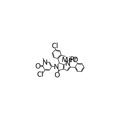 COc1ccccc1-c1cc2c(n1C(C)C)C(c1ccc(Cl)cc1C)N(c1cc(Cl)c(=O)n(C)c1)C2=O